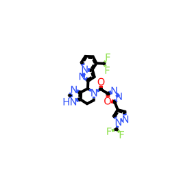 O=C(c1nnc(-c2cnn(C(F)F)c2)o1)N1CCc2[nH]cnc2C1c1cc2c(C(F)F)cccn2n1